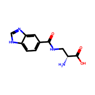 N[C@H](CNC(=O)c1ccc2[nH]cnc2c1)C(=O)O